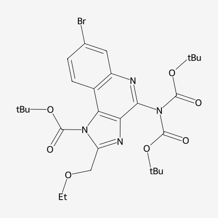 CCOCc1nc2c(N(C(=O)OC(C)(C)C)C(=O)OC(C)(C)C)nc3cc(Br)ccc3c2n1C(=O)OC(C)(C)C